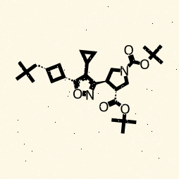 CC(C)(C)C[C@H]1C[C@@H](c2onc([C@H]3CN(C(=O)OC(C)(C)C)C[C@@H]3C(=O)OC(C)(C)C)c2C2CC2)C1